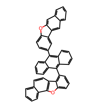 c1ccc2cc3c(cc2c1)oc1ccc(-c2c4ccccc4c(-c4cccc5oc6c7ccccc7ccc6c45)c4ccccc24)cc13